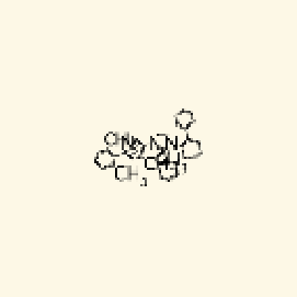 Cc1cc(-c2c(C)cccc2C)ncc1N1C=CN(c2c(-c3ccccc3)cccc2-c2ccccc2)[C@H]1C